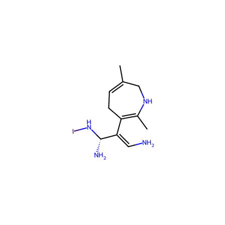 CC1=CCC(/C(=C\N)[C@H](N)NI)=C(C)NC1